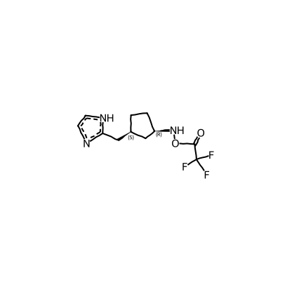 O=C(ON[C@@H]1CC[C@H](Cc2ncc[nH]2)C1)C(F)(F)F